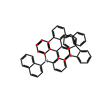 c1ccc(-c2ccccc2-c2c(-c3ccccc3)cccc2-c2cccc(N(c3cccc(-n4c5ccccc5c5ccccc54)c3)c3cccc4ccccc34)c2)cc1